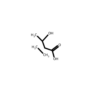 CC.CC(O)CC(=O)O